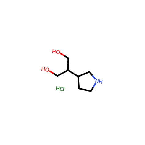 Cl.OCC(CO)C1CCNC1